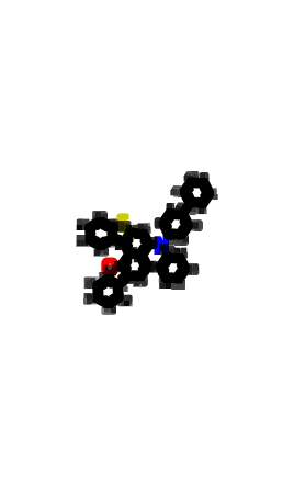 c1ccc(-c2ccc(N(c3ccccc3)c3cc4sc5ccccc5c4c4c3ccc3c5ccccc5oc34)cc2)cc1